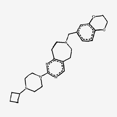 c1cc2c(cc1CN1CCc3cnc(N4CCN(C5CCC5)CC4)nc3CC1)OCCO2